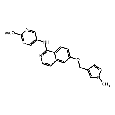 COc1ncc(Nc2nccc3cc(OCc4cnn(C)c4)ccc23)cn1